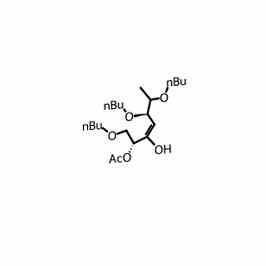 CCCCOC[C@@H](OC(C)=O)/C(O)=C\[C@@H](OCCCC)C(C)OCCCC